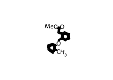 COC(=O)Cc1ccccc1COc1ccccc1C